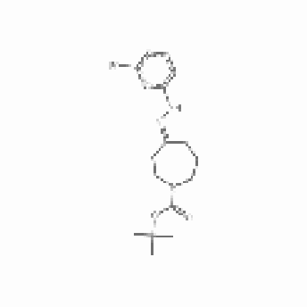 CC(C)(C)OC(=O)N1CCCC(=NNc2cccc(Br)n2)CC1